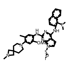 COc1cc(N2CCC3(CC2)CN(C)C3)c(C)cc1Nc1nc(Nc2ccc3ccccc3c2P(C)C)c2ccn(SOI)c2n1